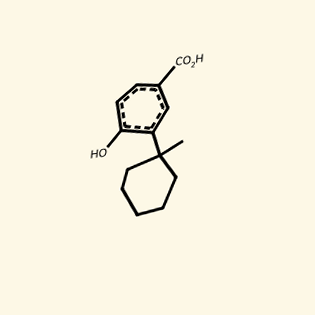 CC1(c2cc(C(=O)O)ccc2O)CCCCC1